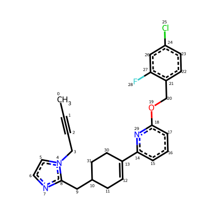 CC#CCn1ccnc1CC1CC=C(c2cccc(OCc3ccc(Cl)cc3F)n2)CC1